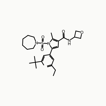 C=C(/C=C(\C=C(/C)C(C)(C)C)c1cc(C(=O)NC2COC2)c(C)n1S(=O)(=O)N1CCCCCC1)CC